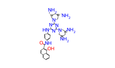 NC[C@@H]1C[C@H](CN)CN(c2nc(Nc3ccc(NC(=O)c4ccc5ccccc5c4O)cc3)nc(N3C[C@H](N)C[C@H](N)C3)n2)C1